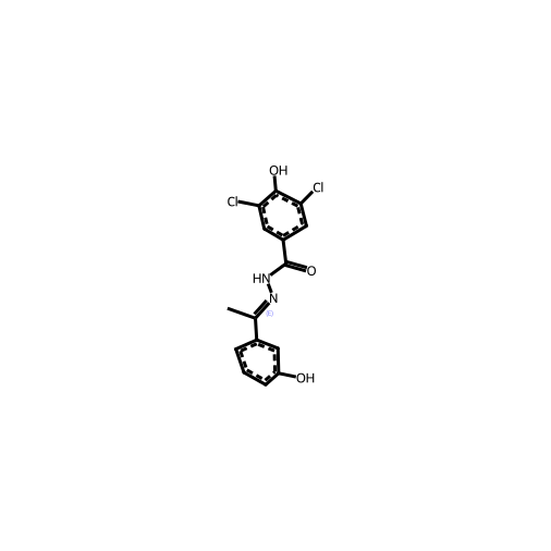 C/C(=N\NC(=O)c1cc(Cl)c(O)c(Cl)c1)c1cccc(O)c1